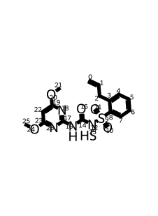 C=CCc1ccccc1S(=O)(=O)N(S)C(=O)Nc1nc(OC)cc(OC)n1